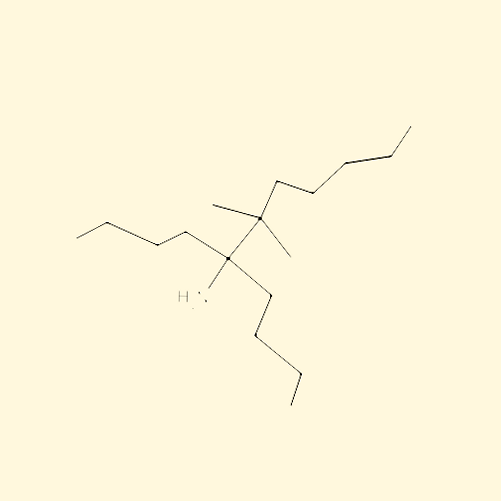 CCCCCC(C)(C)C(N)(CCCC)CCCC